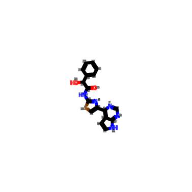 O=C(Nc1nc(-c2ncnc3[nH]ccc23)cs1)C(O)c1ccccc1